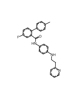 Cc1ccc(-c2ccc(F)cc2C(=O)Nc2ccc(NCCc3ccccn3)cc2)cc1